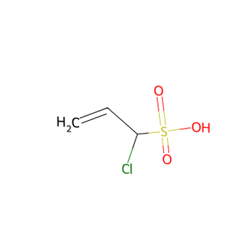 C=CC(Cl)S(=O)(=O)O